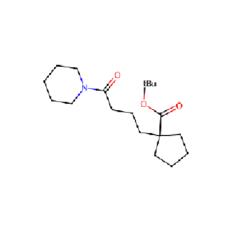 CC(C)(C)OC(=O)C1(CCCC(=O)N2CCCCC2)CCCC1